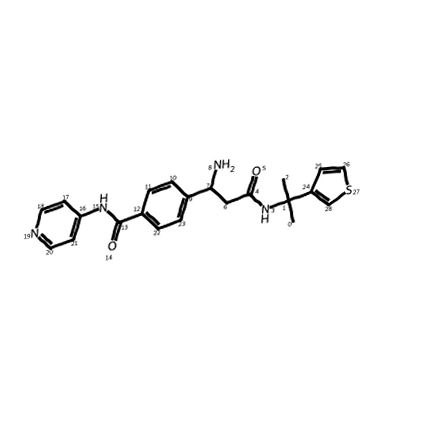 CC(C)(NC(=O)CC(N)c1ccc(C(=O)Nc2ccncc2)cc1)c1ccsc1